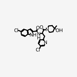 CC1(O)CCN(C(=O)C(Cc2ccc(Cl)cn2)NC(=O)c2cc3cc(Cl)ccc3[nH]2)CC1